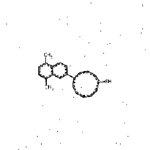 Cc1ccc(C)c2cc(-c3cccccc(S)ccc3)ccc12